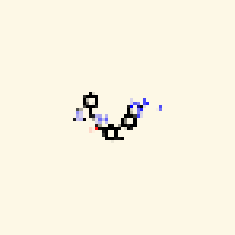 Cc1ccc(C(=O)N[C@H](CN(C)C)c2ccccc2)cc1-c1ccc2nc(N)ncc2c1